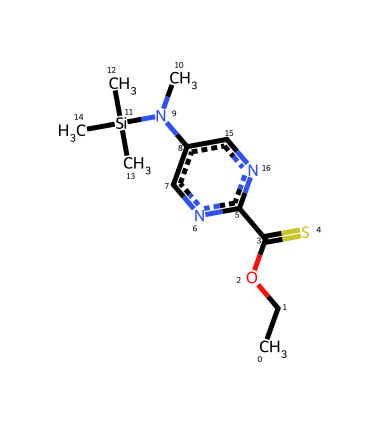 CCOC(=S)c1ncc(N(C)[Si](C)(C)C)cn1